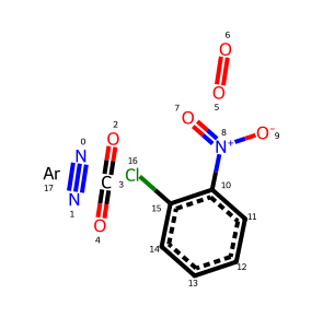 N#N.O=C=O.O=O.O=[N+]([O-])c1ccccc1Cl.[Ar]